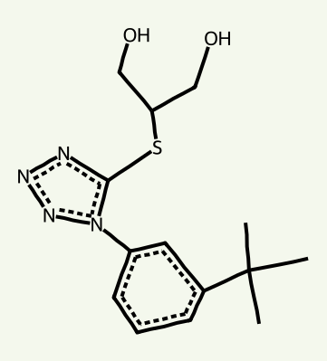 CC(C)(C)c1cccc(-n2nnnc2SC(CO)CO)c1